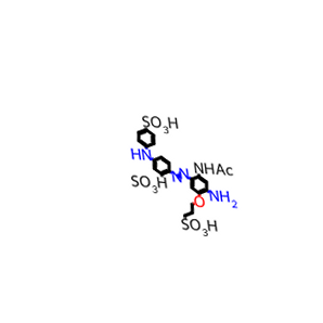 CC(=O)Nc1cc(N)c(OCCCS(=O)(=O)O)cc1N=Nc1ccc(Nc2ccc(S(=O)(=O)O)cc2)cc1S(=O)(=O)O